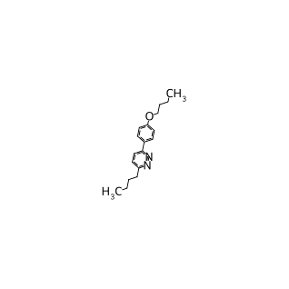 CCCCOc1ccc(-c2ccc(CCCC)nn2)cc1